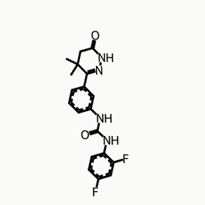 CC1(C)CC(=O)NN=C1c1cccc(NC(=O)Nc2ccc(F)cc2F)c1